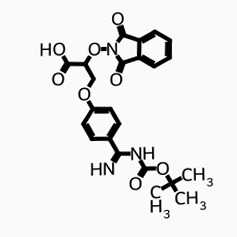 CC(C)(C)OC(=O)NC(=N)c1ccc(OCC(ON2C(=O)c3ccccc3C2=O)C(=O)O)cc1